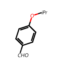 [CH2]C(C)Oc1ccc(C=O)cc1